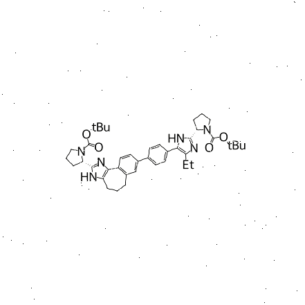 CCc1nc([C@@H]2CCCN2C(=O)OC(C)(C)C)[nH]c1-c1ccc(-c2ccc3c(c2)CCCc2[nH]c([C@@H]4CCCN4C(=O)OC(C)(C)C)nc2-3)cc1